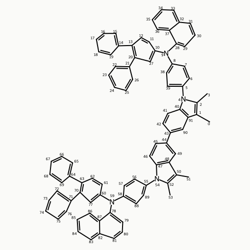 Cc1c(C)n(-c2ccc(N(c3ccc(-c4ccccc4)c(-c4ccccc4)c3)c3cccc4ccccc34)cc2)c2ccc(-c3ccc4c(c3)c(C)c(C)n4-c3ccc(N(c4ccc(-c5ccccc5)c(-c5ccccc5)c4)c4cccc5ccccc45)cc3)cc12